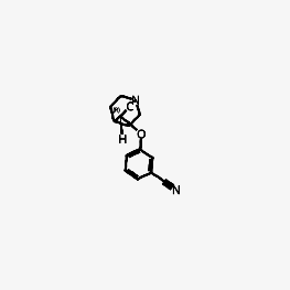 N#Cc1cccc(O[C@H]2CN3CCC2CC3)c1